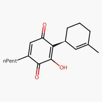 CCCCCC1=CC(=O)C([C@@H]2C=C(C)CCC2)=C(O)C1=O